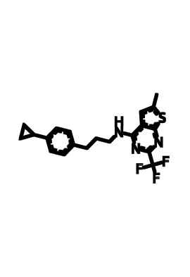 Cc1cc2c(NCCCc3ccc(C4CC4)cc3)nc(C(F)(F)F)nc2s1